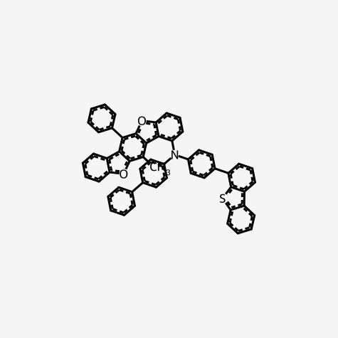 Cc1c2oc3ccccc3c2c(-c2ccccc2)c2oc3cccc(N(c4ccc(-c5ccccc5)cc4)c4ccc(-c5cccc6c5sc5ccccc56)cc4)c3c12